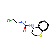 O=C(NCCCl)NC1CCSc2ccccc21